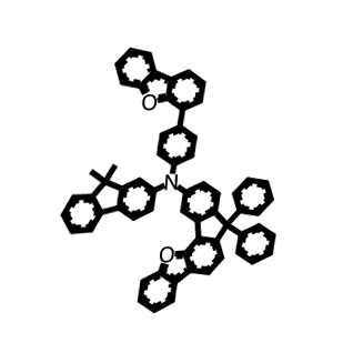 CC1(C)c2ccccc2-c2ccc(N(c3ccc(-c4cccc5c4oc4ccccc45)cc3)c3ccc4c(c3)-c3c(ccc5c3oc3ccccc35)C4(c3ccccc3)c3ccccc3)cc21